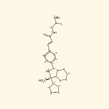 CC(C)COC(C)ONC(=O)C=Cc1ccc(CN[C@](C(=O)O)(C2CCCCC2)C2CCCC2)cc1